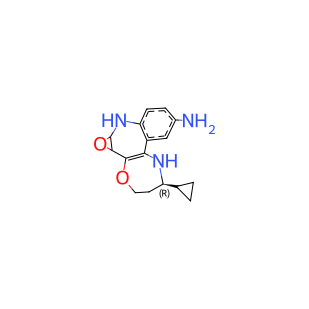 Nc1ccc2c(c1)C1=C(OCC[C@H](C3CC3)N1)C1OC1N2